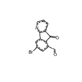 O=Cc1cc(Br)cc2c1C(=O)c1cccnc1-2